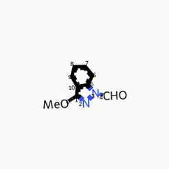 COc1nn(C=O)c2ccccc12